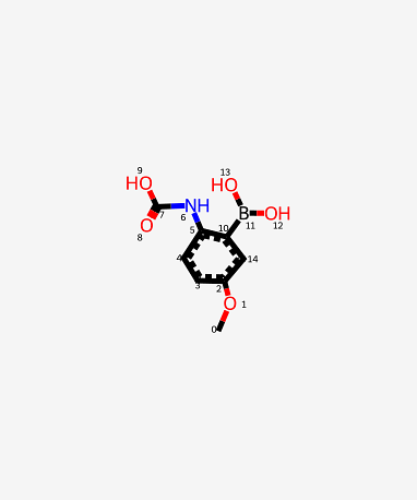 COc1ccc(NC(=O)O)c(B(O)O)c1